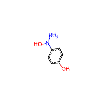 NN(O)c1ccc(O)cc1